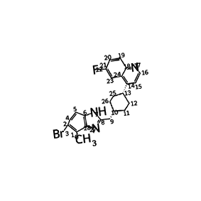 Cc1c(Br)ccc2[nH]c(C[C@H]3CC[C@@H](c4ccnc5ccc(F)cc54)CC3)nc12